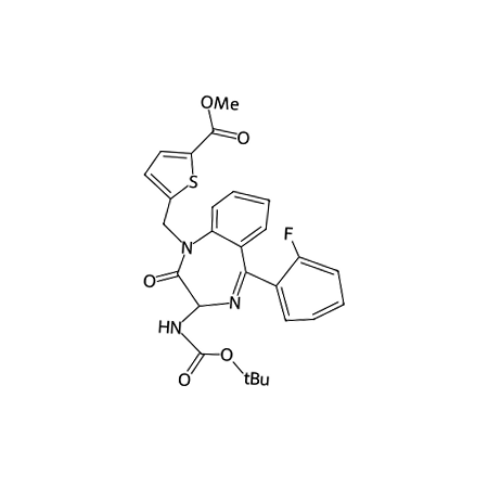 COC(=O)c1ccc(CN2C(=O)C(NC(=O)OC(C)(C)C)N=C(c3ccccc3F)c3ccccc32)s1